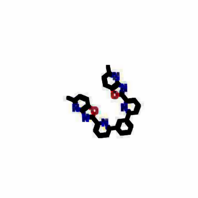 Cc1ccc2oc(-c3cccc(-c4cccc(-c5cccc(-c6nc7nc(C)ccc7o6)n5)c4)n3)nc2n1